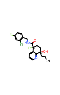 N#CCC[C@@]1(O)CC[C@@](F)(C(=O)NCc2ccc(F)cc2Cl)c2cccnc21